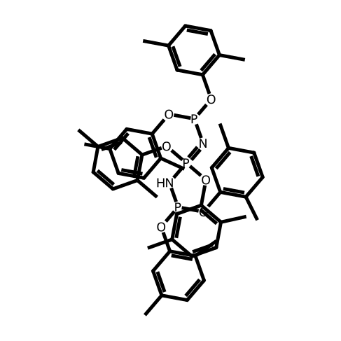 Cc1ccc(C)c(OP(N=P(NP(Oc2cc(C)ccc2C)Oc2cc(C)ccc2C)(Oc2cc(C)ccc2C)Oc2cc(C)ccc2C)Oc2cc(C)ccc2C)c1